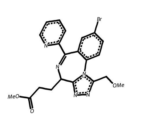 COCc1nnc2n1-c1ccc(Br)cc1C(c1ccccn1)=NC2CCC(=O)OC